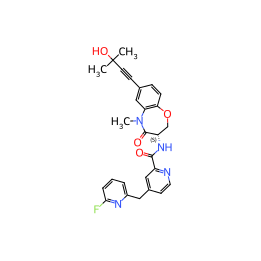 CN1C(=O)[C@@H](NC(=O)c2cc(Cc3cccc(F)n3)ccn2)COc2ccc(C#CC(C)(C)O)cc21